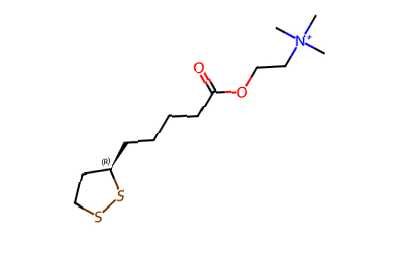 C[N+](C)(C)CCOC(=O)CCCC[C@@H]1CCSS1